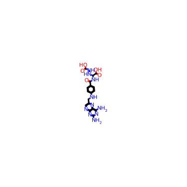 Nc1nc(N)c2nc(CNc3ccc(C(=O)NC(NNC(=O)O)C(=O)O)cc3)cnc2n1